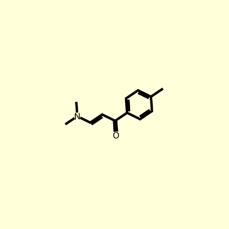 Cc1ccc(C(=O)C=CN(C)C)cc1